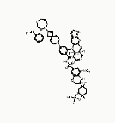 CC(C)Oc1ccccc1[C@@H]1COCCCN1C1CC2(CCN(c3ccc(C(=O)NS(=O)(=O)c4cc5c(c([N+](=O)[O-])c4)N[C@@H](C4(F)CCC(C)(OP(=O)(O)O)CC4)CO5)c(N4c5cc6cc[nH]c6nc5O[C@H]5COCC[C@@H]54)c3)CC2)C1